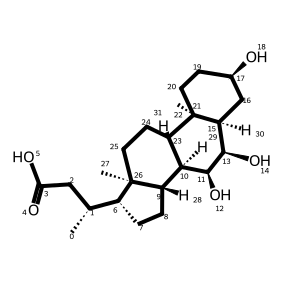 C[C@H](CC(=O)O)[C@H]1CC[C@H]2[C@@H]3[C@H](O)[C@H](O)[C@@H]4C[C@H](O)CC[C@]4(C)[C@H]3CC[C@]12C